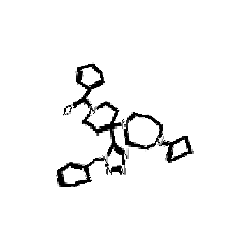 O=C(c1ccccc1)N1CCC(c2nnnn2Cc2ccccc2)(N2CCCN(C3CCC3)CC2)CC1